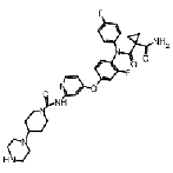 NC(=O)C1(C(=O)N(c2ccc(F)cc2)c2ccc(Oc3ccnc(NC(=O)N4CCC(N5CCNCC5)CC4)c3)cc2F)CC1